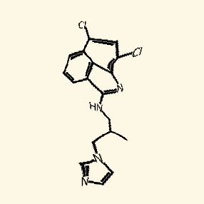 CC(CNC1=Nc2c(Cl)cc(Cl)c3cccc1c23)Cn1ccnc1